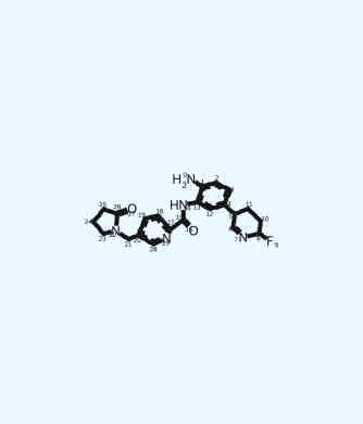 Nc1ccc(C2C=NC(F)CC2)cc1NC(=O)c1ccc(CN2CCCC2=O)cn1